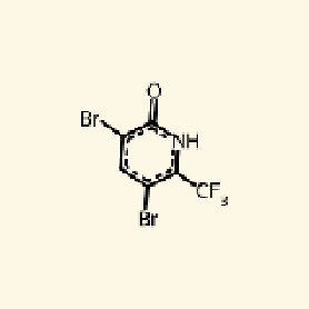 O=c1[nH]c(C(F)(F)F)c(Br)cc1Br